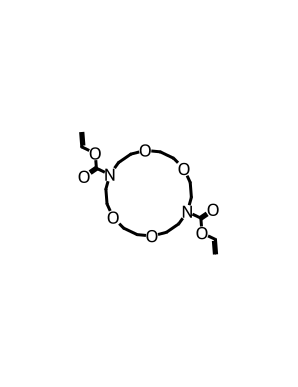 C=COC(=O)N1CCOCCOCCN(C(=O)OC=C)CCOCCOCC1